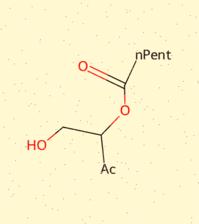 CCCCCC(=O)OC(CO)C(C)=O